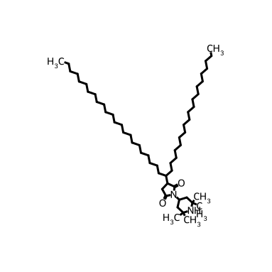 CCCCCCCCCCCCCCCCCCCCCCCC(CCCCCCCCCCCCCCCCCCCC)C1CC(=O)N(C2CC(C)(C)NC(C)(C)C2)C1=O